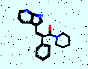 O=C(/C(=C\c1c[nH]c2ncccc12)c1ccccc1)N1CCCCC1